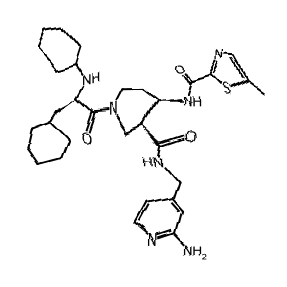 Cc1cnc(C(=O)N[C@@H]2CCN(C(=O)[C@@H](CC3CCCCC3)NC3CCCCC3)C[C@@H]2C(=O)NCc2ccnc(N)c2)s1